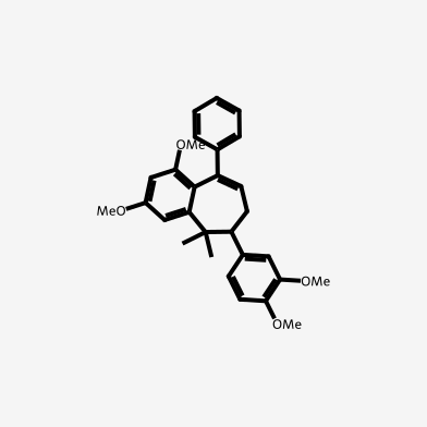 COc1cc(OC)c2c(c1)C(C)(C)C(c1ccc(OC)c(OC)c1)CC=C2c1ccccc1